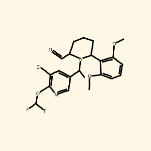 COc1cccc(OC)c1C1CCCC(C=O)N1C(C)c1cnc(OC(F)F)c(Cl)c1